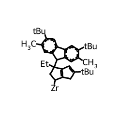 CCC1(C2c3cc(C)c(C(C)(C)C)cc3-c3cc(C(C)(C)C)c(C)cc32)C[CH]([Zr])C2=C1C=C(C(C)(C)C)C2